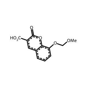 COCOc1cccc2cc(C(=O)O)c(=O)oc12